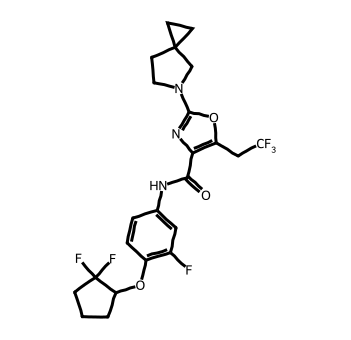 O=C(Nc1ccc(OC2CCCC2(F)F)c(F)c1)c1nc(N2CCC3(CC3)C2)oc1CC(F)(F)F